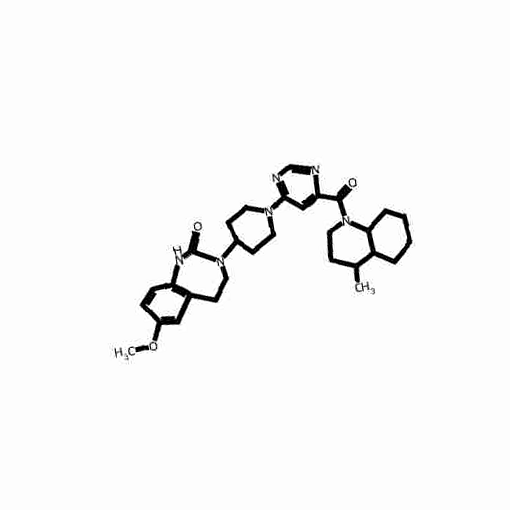 COc1ccc2c(c1)CCN(C1CCN(c3cc(C(=O)N4CCC(C)C5CCCCC54)ncn3)CC1)C(=O)N2